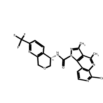 Cc1nccc2c1nc(C)c1c(C)nn(C(=O)N[C@@H]3COCc4nc(C(F)(F)F)ccc43)c12